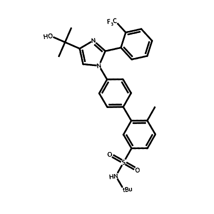 Cc1ccc(S(=O)(=O)NC(C)(C)C)cc1-c1ccc(-n2cc(C(C)(C)O)nc2-c2ccccc2C(F)(F)F)cc1